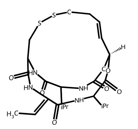 CC=C1NC(=O)C2CSSCC/C=C/[C@H](CC(=O)NC(C(C)C)C(=O)N2)OC(=O)C(C(C)C)NC1=O